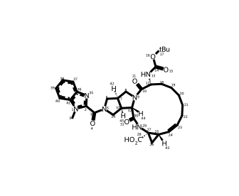 Cn1c(C(=O)N2C[C@H]3CN4C(=O)[C@H](NC(=O)OC(C)(C)C)CCCCC/C=C\[C@@H]5C[C@@]5(C(=O)O)NC(=O)[C@@H]4[C@H]3C2)nc2ccccc21